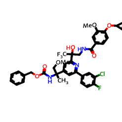 COCC(C)(NC(=O)OCc1ccccc1)c1cc(-c2ccc(F)c(Cl)c2)nc(C(O)(CNC(=O)c2ccc(OC3CC3)c(OC)c2)C(F)(F)F)c1